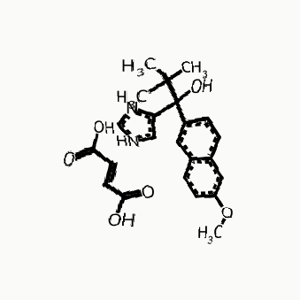 COc1ccc2cc(C(O)(c3c[nH]cn3)C(C)(C)C)ccc2c1.O=C(O)/C=C/C(=O)O